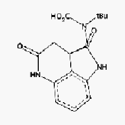 CC(C)(C)N(CC12CC(=O)Nc3cccc(c31)NC2=O)C(=O)O